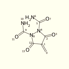 C=C1C(=O)N(C(N)=O)N(C(N)=O)C1=O